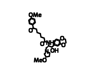 COc1ccc(C(=O)CCCCCC(=O)N[C@H](CN2CC[C@H](OC)C2)[C@@H](O)c2ccc3c(c2)OCCO3)cc1